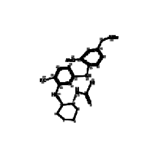 CCC(=O)N[C@@H]1CCCC[C@H]1Nc1nc(Nc2ccc(CNC)cc2OC)ncc1C(F)(F)F